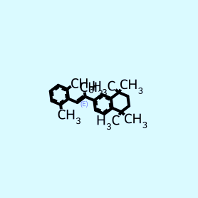 C/C(=C\c1c(C)cccc1C)c1ccc2c(c1)C(C)(C)CCC2(C)C